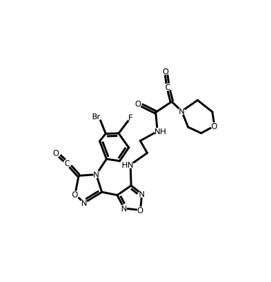 O=C=C(C(=O)NCCNc1nonc1C1=NOC(=C=O)N1c1ccc(F)c(Br)c1)N1CCOCC1